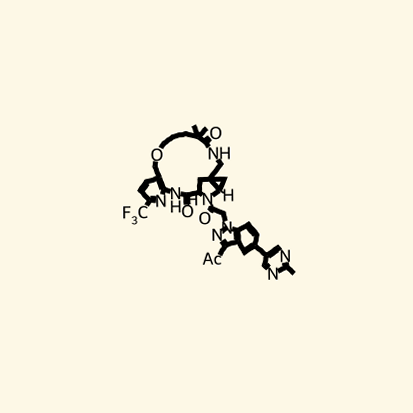 CC(=O)c1nn(CC(=O)N2[C@H]3CC4(CNC(=O)C(C)(C)CCCOCc5ccc(C(F)(F)F)nc5NC3=O)C[C@@H]24)c2ccc(-c3cnc(C)nc3)cc12